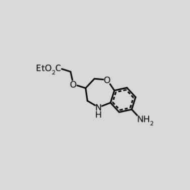 CCOC(=O)COC1CNc2cc(N)ccc2OC1